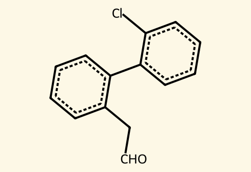 O=CCc1ccccc1-c1ccccc1Cl